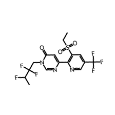 CCS(=O)(=O)c1cc(C(F)(F)F)cnc1-c1cc(=O)n(CC(F)(F)C(C)F)cn1